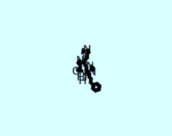 O=c1[nH]c2c(NCCc3ccccc3)ncnc2n2c(Cn3ccnc3)ncc12